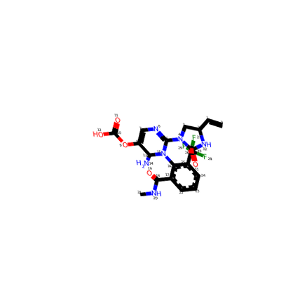 C=CC1CN(C2=NC=C(OC(=O)O)C(N)N2c2c(C(=O)NC)cccc2C(F)(F)F)C(=O)N1